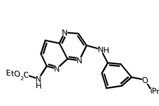 CCOC(=O)Nc1ccc2ncc(Nc3cccc(OC(C)C)c3)nc2n1